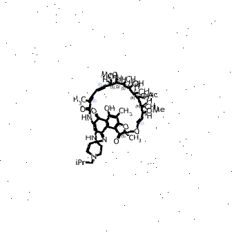 CO[C@@H]1[C@@H](C)[C@@H](O)[C@@H](C)[C@H](OC(C)=O)[C@H](C)[C@@H](OC)/C=C/O[C@@]2(C)Oc3c(C)c(O)c4c(c3C2=O)C2=NC3(CCN(CC(C)C)CC3)NC2=C(NC(=O)/C(C)=C\C=C\[C@@H]1C)C4=O